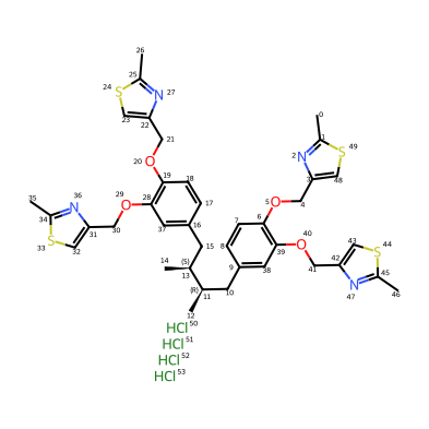 Cc1nc(COc2ccc(C[C@@H](C)[C@@H](C)Cc3ccc(OCc4csc(C)n4)c(OCc4csc(C)n4)c3)cc2OCc2csc(C)n2)cs1.Cl.Cl.Cl.Cl